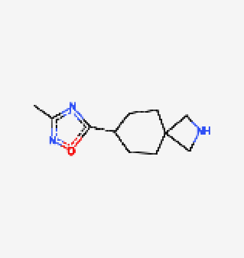 Cc1noc(C2CCC3(CC2)CNC3)n1